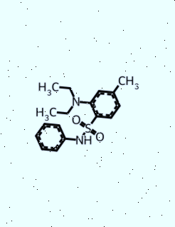 CCN(CC)c1cc(C)ccc1S(=O)(=O)Nc1ccccc1